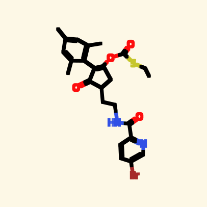 CCSC(=O)OC1=C(c2c(C)cc(C)cc2C)C(=O)C(CCNC(=O)c2ccc(Br)cn2)C1